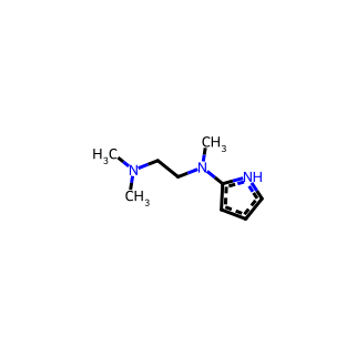 CN(C)CCN(C)c1ccc[nH]1